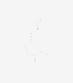 Cc1ccc(CC(=O)O)c(F)c1F